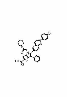 COc1ccc(-c2ccc3cc(-c4c(-c5ccccc5)c5sc(C(=O)O)cc5n4CC(=O)N4CCCCC4)ccc3n2)cc1